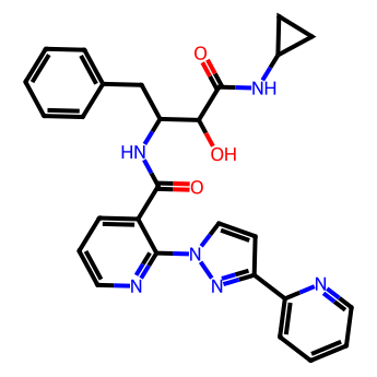 O=C(NC(Cc1ccccc1)C(O)C(=O)NC1CC1)c1cccnc1-n1ccc(-c2ccccn2)n1